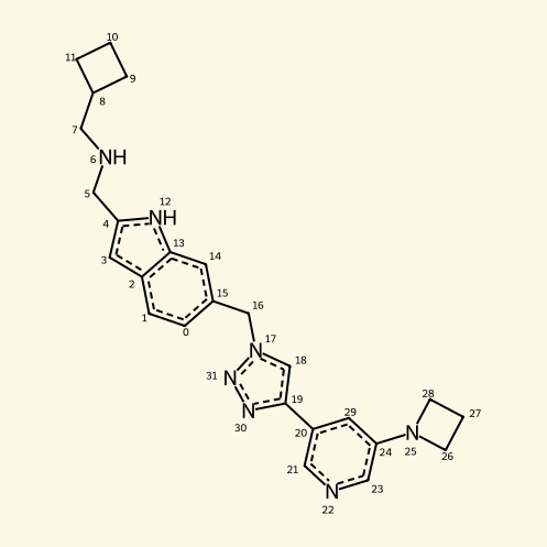 c1cc2cc(CNCC3CCC3)[nH]c2cc1Cn1cc(-c2cncc(N3CCC3)c2)nn1